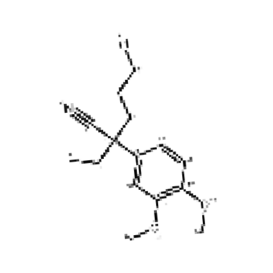 CCC(C#N)(CCCCl)c1ccc(OC)c(OC)c1